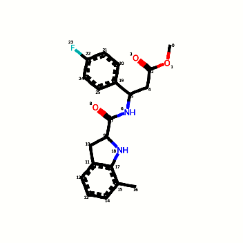 COC(=O)CC(NC(=O)C1Cc2cccc(C)c2N1)c1ccc(F)cc1